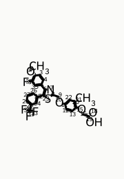 COc1ccc(-c2nc(COc3ccc(OCC(=O)O)c(C)c3)sc2-c2cccc(C(F)(F)F)c2)cc1F